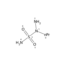 CCCN(N)S(N)(=O)=O